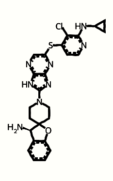 N[C@@H]1c2ccccc2OC12CCN(c1nc3nc(Sc4ccnc(NC5CC5)c4Cl)cnc3[nH]1)CC2